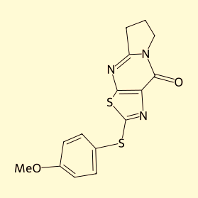 COc1ccc(Sc2nc3c(=O)n4c(nc3s2)CCC4)cc1